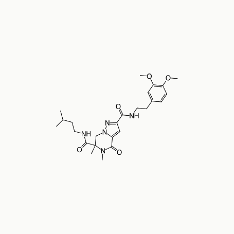 COc1ccc(CCNC(=O)c2cc3n(n2)CC(C)(C(=O)NCCC(C)C)N(C)C3=O)cc1OC